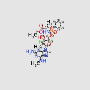 CCOC(=O)[C@H](C)NP(=O)(OC[C@@]1(F)O[C@@H](n2cnc3c(NC)nc(N)nc32)[C@](C)(F)[C@@H]1O)Oc1ccccc1